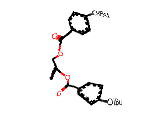 CC(C)COc1ccc(C(=O)OCC(C)OC(=O)c2ccc(OCC(C)C)cc2)cc1